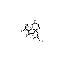 CC(C)CN1CNCNC1(CC(C)C)CC(C)C